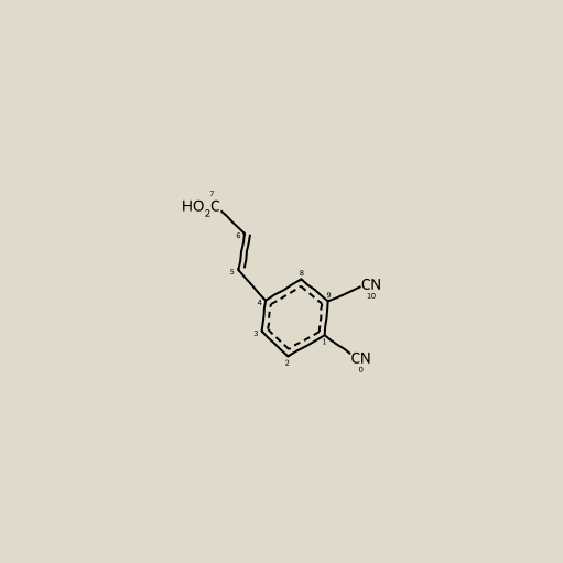 N#Cc1ccc(/C=C/C(=O)O)cc1C#N